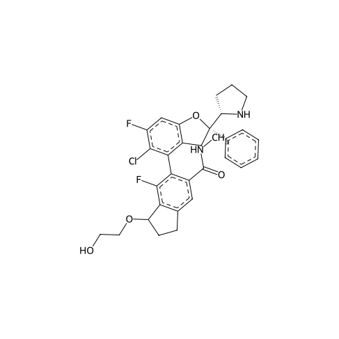 CNC(=O)c1cc2c(c(F)c1-c1c(Cl)c(F)cc3c1C[C@](c1ccccc1)([C@@H]1CCCN1)O3)C(OCCO)CC2